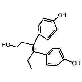 CC/C(=C(\CCO)c1ccc(O)cc1)c1ccc(O)cc1